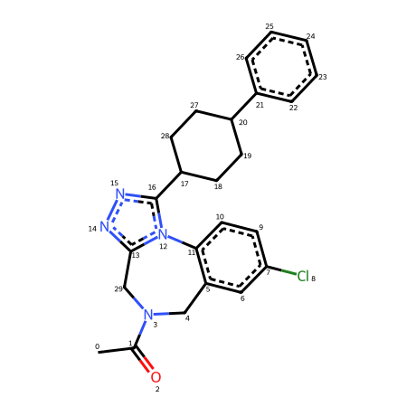 CC(=O)N1Cc2cc(Cl)ccc2-n2c(nnc2C2CCC(c3ccccc3)CC2)C1